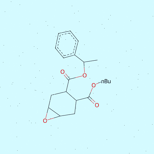 CCCCOC(=O)C1CC2OC2CC1C(=O)OC(C)c1ccccc1